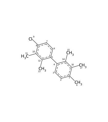 Cc1ccc(-c2ccc(Cl)c(C)c2C)c(C)c1C